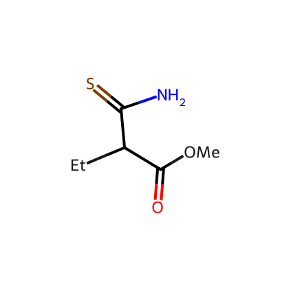 CCC(C(=O)OC)C(N)=S